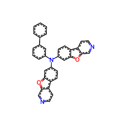 c1ccc(-c2cccc(N(c3ccc4c(c3)oc3cnccc34)c3ccc4c(c3)oc3cnccc34)c2)cc1